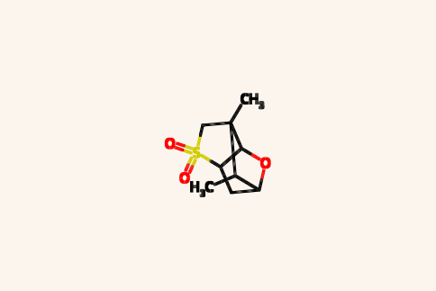 CC1C2CC3C(O2)C1(C)CS3(=O)=O